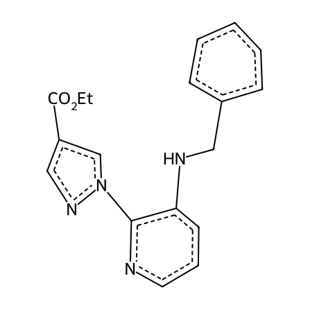 CCOC(=O)c1cnn(-c2ncccc2NCc2ccccc2)c1